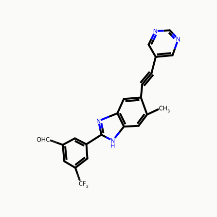 Cc1cc2[nH]c(-c3cc(C=O)cc(C(F)(F)F)c3)nc2cc1C#Cc1cncnc1